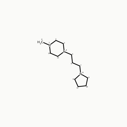 CN1CCN(CCCN2CCCC2)CC1